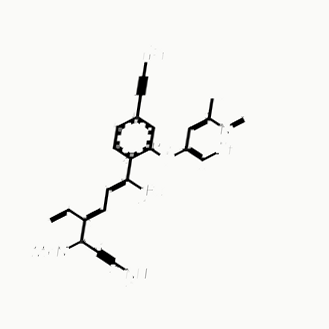 C=C/C(=C\C=C(\c1ccc(C#CCCC)cc1OC(/C=C(/C)N=C)=C/CC)C(C)CC)C(C#CN)NC